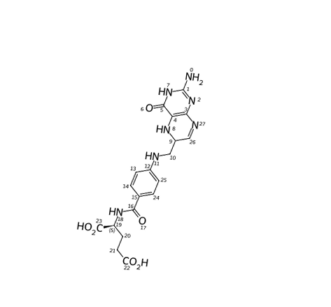 Nc1nc2c(c(=O)[nH]1)NC(CNc1ccc(C(=O)N[C@@H](CCC(=O)O)C(=O)O)cc1)C=N2